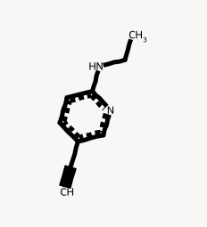 C#Cc1ccc(NCC)nc1